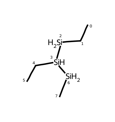 CC[SiH2][SiH](CC)[SiH2]C